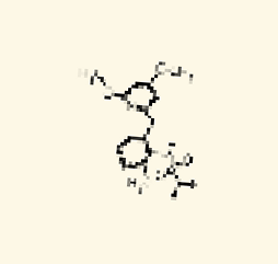 COc1cc(Cc2cccc(C)c2NS(=O)(=O)C(F)F)nc(OC)c1